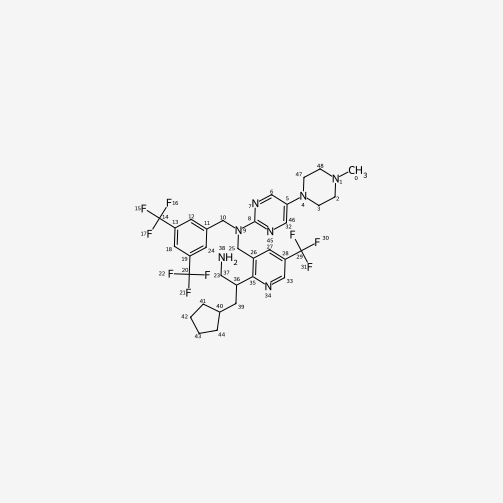 CN1CCN(c2cnc(N(Cc3cc(C(F)(F)F)cc(C(F)(F)F)c3)Cc3cc(C(F)(F)F)cnc3C(CN)CC3CCCC3)nc2)CC1